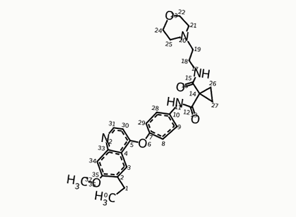 CCc1cc2c(Oc3ccc(NC(=O)C4(C(=O)NCCN5CCOCC5)CC4)cc3)ccnc2cc1OC